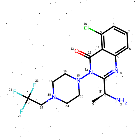 C[C@H](N)c1nc2cccc(Cl)c2c(=O)n1N1CCN(CC(F)(F)F)CC1